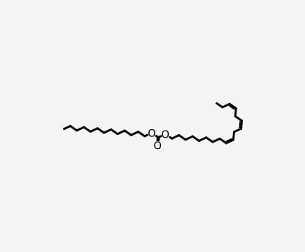 CC/C=C\C/C=C\C/C=C\CCCCCCCCOC(=O)OCCCCCCCCCCCCC